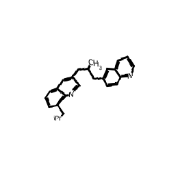 CC(C)Cc1cccc2cc(CC(C)Cc3ccc4ncccc4c3)cnc12